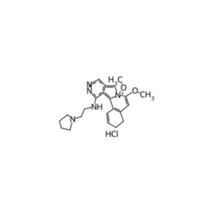 COC1=CC2=C(C=CCC2)C2=c3c(NCCN4CCCC4)nncc3=C[N+]12OC.Cl